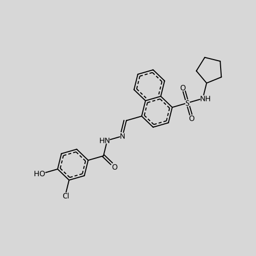 O=C(NN=Cc1ccc(S(=O)(=O)NC2CCCC2)c2ccccc12)c1ccc(O)c(Cl)c1